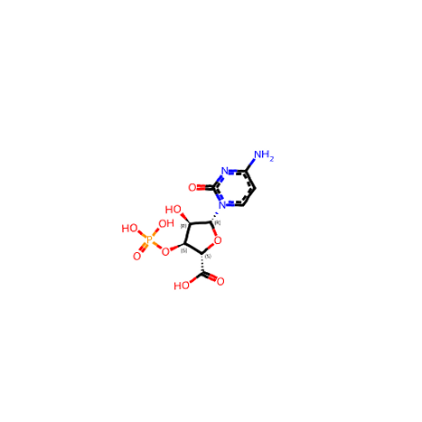 Nc1ccn([C@@H]2O[C@H](C(=O)O)[C@@H](OP(=O)(O)O)[C@H]2O)c(=O)n1